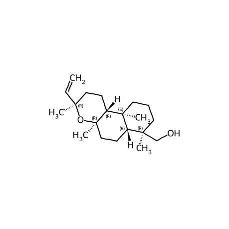 C=C[C@@]1(C)CC[C@@H]2[C@@]3(C)CCC[C@@](C)(CO)[C@@H]3CC[C@@]2(C)O1